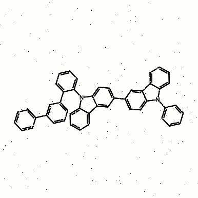 c1ccc(-c2cccc(-c3ccccc3-n3c4ccccc4c4cc(-c5ccc6c(c5)c5ccccc5n6-c5ccccc5)ccc43)c2)cc1